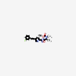 CC(c1nc(-c2ccc(C#Cc3cccc(F)c3)cn2)no1)N(C)C(=O)OC(C)(C)C